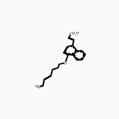 O=C(O)/C=C/c1ccc(OCCCCCCO)c2ccccc12